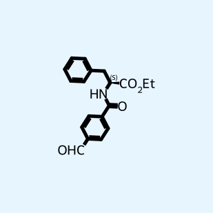 CCOC(=O)[C@H](Cc1ccccc1)NC(=O)c1ccc(C=O)cc1